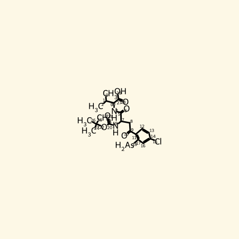 CC(C)[C@H](NC(=O)C(CC(=O)c1ccc(Cl)cc1[AsH2])NC(=O)OC(C)(C)C)C(=O)O